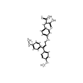 COc1ccc(C(=CCOc2ccc(CC(C(=O)O)C(=O)O)cc2)c2ccc(OC)cc2)cc1